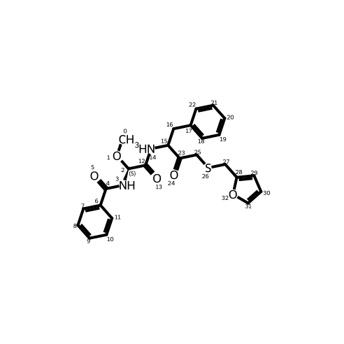 CO[C@H](NC(=O)c1ccccc1)C(=O)NC(Cc1ccccc1)C(=O)CSCc1ccco1